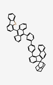 c1cc(-c2ccc(-c3cccc4c3-c3c(ccc5ccccc35)C43C4CC5CC(C4)CC3C5)cc2)cc(-c2c3ccccc3c(-c3cccc4c3sc3ccccc34)c3ccccc23)c1